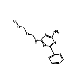 CCOCOCNc1nc(N)nc(-c2ccccc2)n1